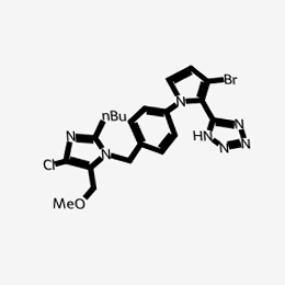 CCCCc1nc(Cl)c(COC)n1Cc1ccc(-n2ccc(Br)c2-c2nnn[nH]2)cc1